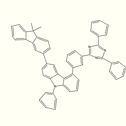 CC1(C)c2ccccc2-c2cc(-c3ccc4c(c3)c3c(-c5cccc(-c6nc(-c7ccccc7)nc(-c7ccccc7)n6)c5)cccc3n4-c3ccccc3)ccc21